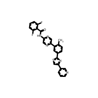 Cc1ccc(-c2nc(-c3cccnc3)cs2)cc1-c1cnc(NC(=O)c2c(F)cccc2F)cn1